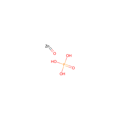 O=P(O)(O)O.[O]=[Zn]